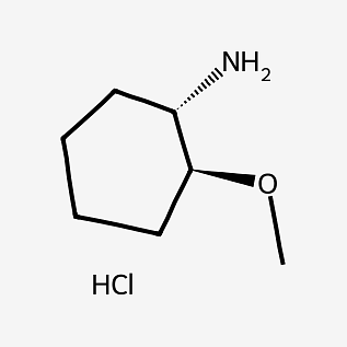 CO[C@H]1CCCC[C@@H]1N.Cl